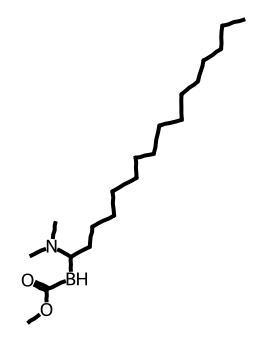 CCCCCCCCCCCCCCCC(BC(=O)OC)N(C)C